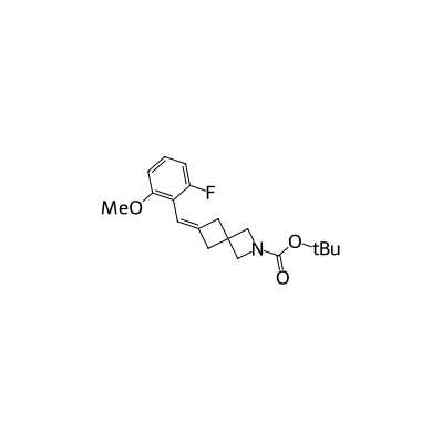 COc1cccc(F)c1C=C1CC2(C1)CN(C(=O)OC(C)(C)C)C2